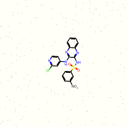 O=[N+]([O-])c1cccc(S(=O)(=O)Nc2nc3ccccc3nc2Nc2ccnc(Cl)c2)c1